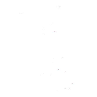 CCCCCCCCCCCCC/C=C/[C@@H](O)[C@H](CO[C@@H]1OC(CO)[C@@H](O[C@@H]2OC(CO)[C@H](O)[C@H](O[C@]3(C(=O)O)CC(O)[C@@H](NC(C)=O)C([C@H](O)[C@H](O)CO)O3)C2O)[C@H](O)C1O)NC(=O)CCCCCCCCCCCCCCC